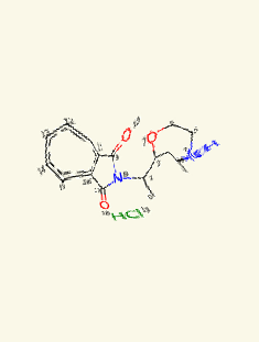 CC(C1CNCCO1)N1C(=O)c2ccccc2C1=O.Cl